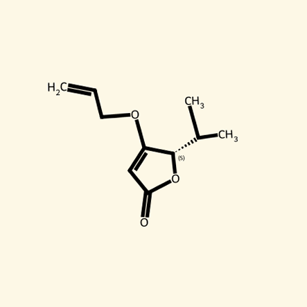 C=CCOC1=CC(=O)O[C@H]1C(C)C